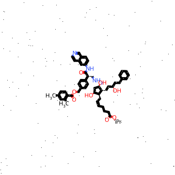 CC(C)OC(=O)CCC/C=C\C[C@@H]1[C@@H](CC[C@@H](O)CCc2ccccc2)[C@H](O)C[C@@H]1O.Cc1ccc(C(=O)OCc2ccc([C@@H](CN)C(=O)Nc3ccc4cnccc4c3)cc2)c(C)c1